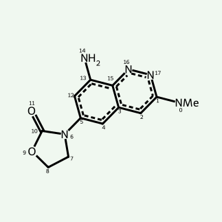 CNc1cc2cc(N3CCOC3=O)cc(N)c2nn1